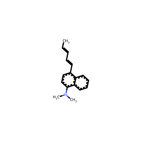 CC=CC=Cc1ccc(N(C)C)c2ccccc12